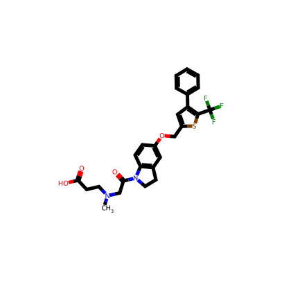 CN(CCC(=O)O)CC(=O)N1CCc2cc(OCc3cc(-c4ccccc4)c(C(F)(F)F)s3)ccc21